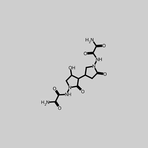 NC(=O)C(=O)NN1CC(C2C(=O)N(NC(=O)C(N)=O)CC2O)CC1=O